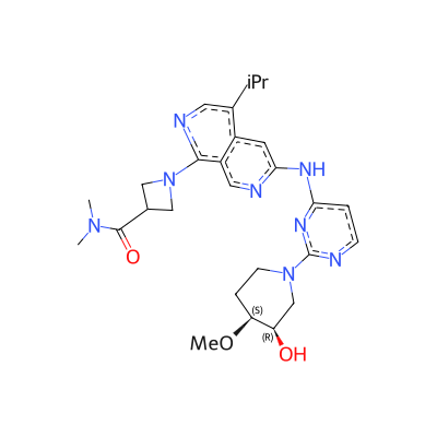 CO[C@H]1CCN(c2nccc(Nc3cc4c(C(C)C)cnc(N5CC(C(=O)N(C)C)C5)c4cn3)n2)C[C@H]1O